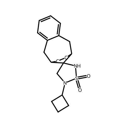 O=S1(=O)NC2(CN1C1CCC1)C1CCC2Cc2ccccc2C1